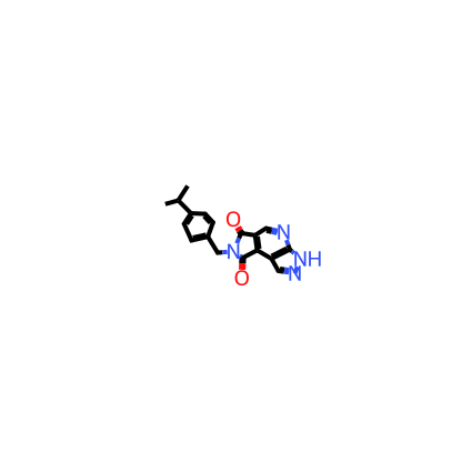 CC(C)c1ccc(CN2C(=O)c3cnc4[nH]ncc4c3C2=O)cc1